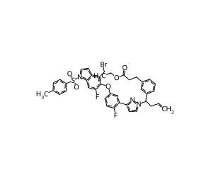 C=CCC(c1cccc(CCC(=O)OCC)c1)n1ccc(-c2cc(Oc3c(F)cc4c(ccn4S(=O)(=O)c4ccc(C)cc4)c3CBr)ccc2F)n1